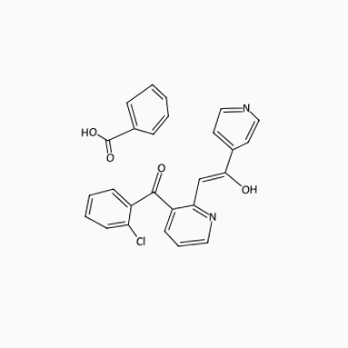 O=C(O)c1ccccc1.O=C(c1ccccc1Cl)c1cccnc1/C=C(\O)c1ccncc1